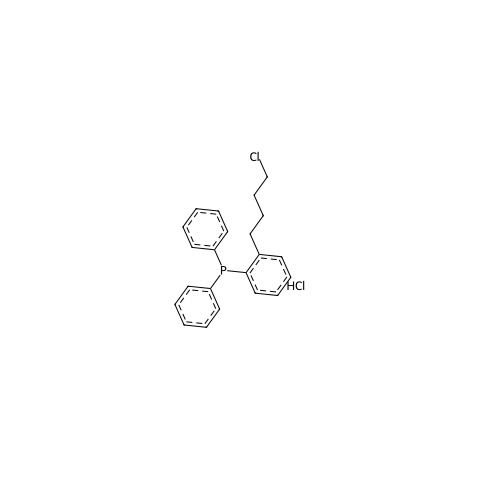 Cl.ClCCCCc1ccccc1P(c1ccccc1)c1ccccc1